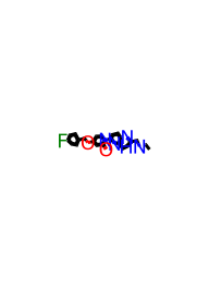 CCNCc1ccc2nc(-n3ccc(OCc4ccc(F)cc4)cc3=O)ccc2n1